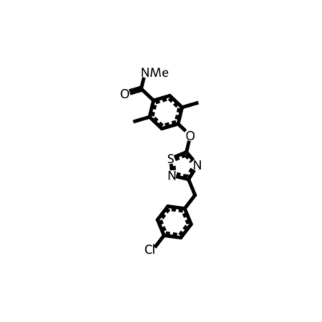 CNC(=O)c1cc(C)c(Oc2nc(Cc3ccc(Cl)cc3)ns2)cc1C